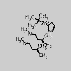 C=C(C)CC[N-]C.C=C(C)CC[N-]C.C[C](C)(C)[Zr+2][C]1=CC=CC1